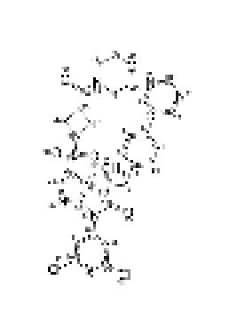 C[C@@]1(Cc2ccc(-c3cncnc3)cc2)C(=O)N(c2cc(Cl)cc(Cl)c2)c2ncc(S(=O)(=O)N3CC(C(=O)N4CCOCC4)C3)n21